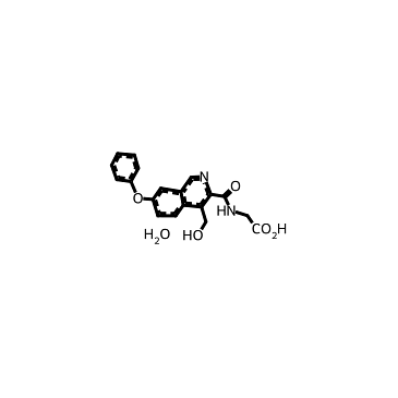 O.O=C(O)CNC(=O)c1ncc2cc(Oc3ccccc3)ccc2c1CO